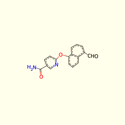 NC(=O)c1ccc(Oc2cccc3c(C=O)cccc23)nc1